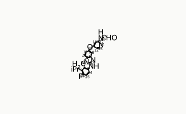 CC(C)c1cc(Nc2nc3cc(Oc4ccnc(NC=O)c4)ccc3n2C)ccc1F